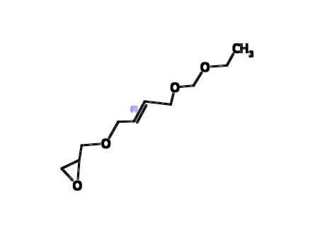 CCOCOC/C=C/COCC1CO1